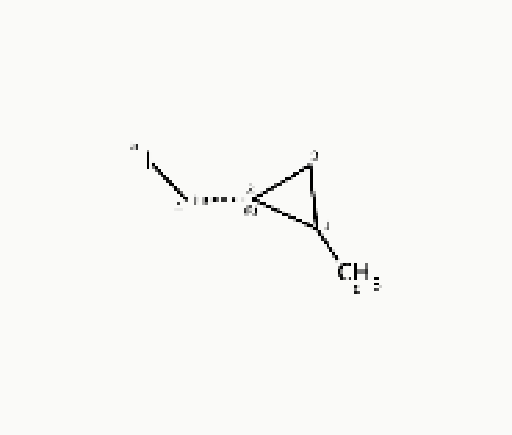 CC1C[C@H]1CI